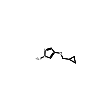 CC(C)(C)n1cc(OCC2CC2)cn1